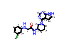 O=C(CNc1cccc(F)c1)NC1CCCN(c2ncnc3[nH]ccc23)C1